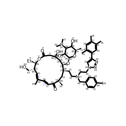 CC[C@H]1OC(=O)C[C@@H](O)[C@H](C)[C@@H](O[C@@H]2O[C@H](C)C(O)C(N(C)C)C2O)[C@@H](CCN(CCn2cc(-c3cc(C)c(C)cc3C)nn2)Cc2ccc(I)cc2)C[C@@H](C)C(=O)/C=C/C(C)=C/[C@@H]1CO